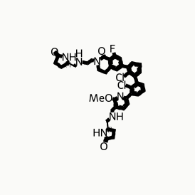 COc1nc(-c2cccc(-c3cccc(-c4cc(F)c5c(c4)CCN(CCNC[C@H]4CCC(=O)N4)C5=O)c3Cl)c2Cl)ccc1CNC[C@H]1CCC(=O)N1